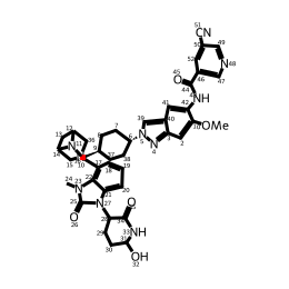 COc1cc2nn([C@H]3CC[C@H](CN4C5CC4CN(c4cccc6c4n(C)c(=O)n6C4CCC(O)NC4=O)C5)CC3)cc2cc1NC(=O)c1cncc(C#N)c1